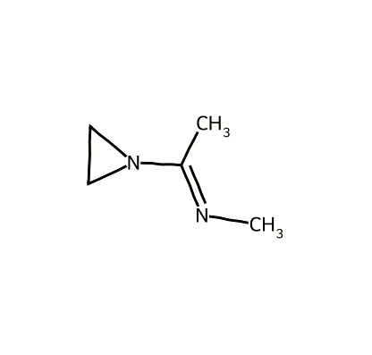 C/N=C(\C)N1CC1